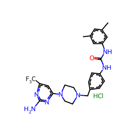 Cc1cc(C)cc(NC(=O)Nc2ccc(CN3CCN(c4cc(C(F)(F)F)nc(N)n4)CC3)cc2)c1.Cl